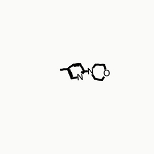 Cc1ccc(N2CCOCC2)nc1